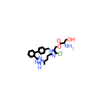 CCCCc1nc(Cl)c(COC(=O)C(N)CO)n1Cc1ccc(-c2ccccc2-c2nn[nH]n2)cc1